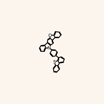 c1ccc2c(c1)oc1cc3c4ccccc4n(-c4ccc(-c5cccc6c5sc5ccccc56)cc4)c3cc12